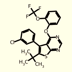 CC(C)(C)c1sc2ncnc(Oc3ccccc3OC(F)(F)F)c2c1-c1cccc(Cl)c1